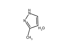 Cc1cc[nH]n1.O